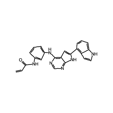 C=CC(=O)Nc1cccc(Nc2ncnc3[nH]c(-c4cccc5[nH]ccc45)cc23)c1